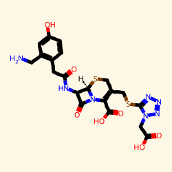 NCc1cc(O)ccc1CC(=O)NC1C(=O)N2C(C(=O)O)=C(CSc3nnnn3CC(=O)O)CS[C@H]12